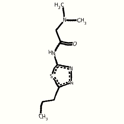 CCCc1nnc(NC(=O)CN(C)C)s1